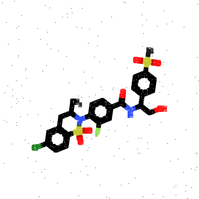 CCS(=O)(=O)c1ccc(C(CO)NC(=O)c2ccc(N3C(C)Cc4cc(Cl)ccc4S3(=O)=O)c(F)c2)cc1